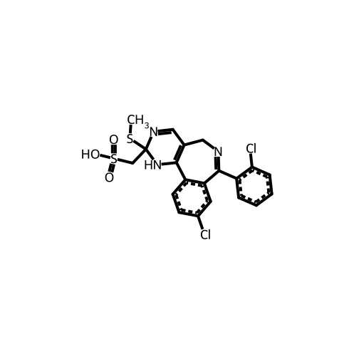 CSC1(CS(=O)(=O)O)N=CC2=C(N1)c1ccc(Cl)cc1C(c1ccccc1Cl)=NC2